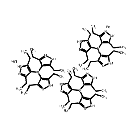 CCc1n[nH]c(CC)c1B(c1c(CC)n[nH]c1CC)c1c(CC)n[nH]c1CC.CCc1n[nH]c(CC)c1B(c1c(CC)n[nH]c1CC)c1c(CC)n[nH]c1CC.CCc1n[nH]c(CC)c1B(c1c(CC)n[nH]c1CC)c1c(CC)n[nH]c1CC.Cl.[Fe]